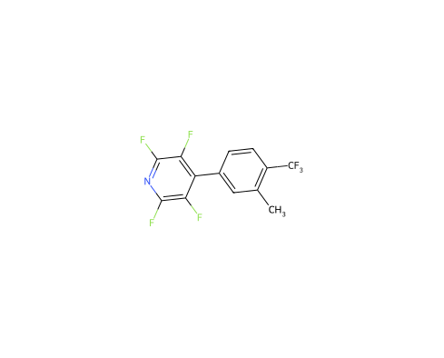 Cc1cc(-c2c(F)c(F)nc(F)c2F)ccc1C(F)(F)F